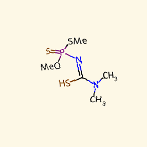 COP(=S)(/N=C(\S)N(C)C)SC